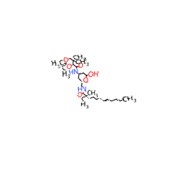 CCCCC=CCCCCC(C)(C)C(=O)NCCCC(CC(=O)O)NC(=O)C1OC(C)(C)OCC1(C)C